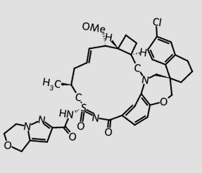 CO[C@H]1/C=C/C[C@H](C)C[S@@](=O)(NC(=O)c2cc3n(n2)CCOC3)=NC(=O)c2ccc3c(c2)N(C[C@@H]2CC[C@H]21)C[C@@]1(CCCc2cc(Cl)ccc21)CO3